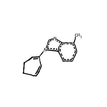 Cc1cccc2c1ncn2C1=CCCC=C1